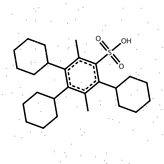 Cc1c(C2CCCCC2)c(C2CCCCC2)c(C)c(S(=O)(=O)O)c1C1CCCCC1